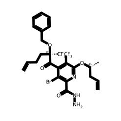 C=CCC[C@@](OCc1ccccc1)(C(=O)c1c(Br)c(C(=O)NN)nc(O[C@H](C)CC=C)c1C(F)(F)F)C(F)(F)F